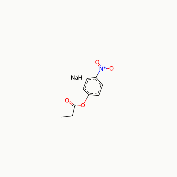 CCC(=O)Oc1ccc([N+](=O)[O-])cc1.[NaH]